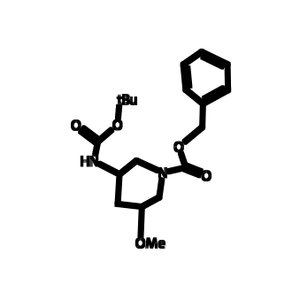 COC1CC(NC(=O)OC(C)(C)C)CN(C(=O)OCc2ccccc2)C1